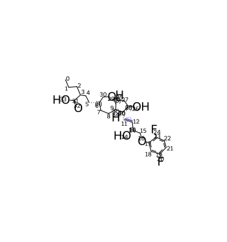 CCCC(CC[C@H]1CC[C@@H]2[C@@H](/C=C/[C@@H](O)COc3cc(F)ccc3F)[C@H](O)C[C@@H]2OC1)C(=O)O